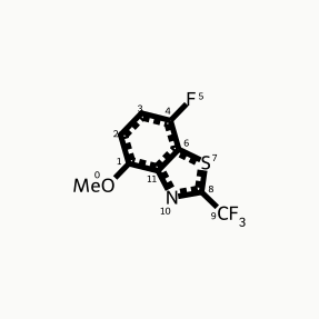 COc1ccc(F)c2sc(C(F)(F)F)nc12